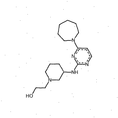 OCCN1CCCC(Nc2nccc(N3CCCCCC3)n2)C1